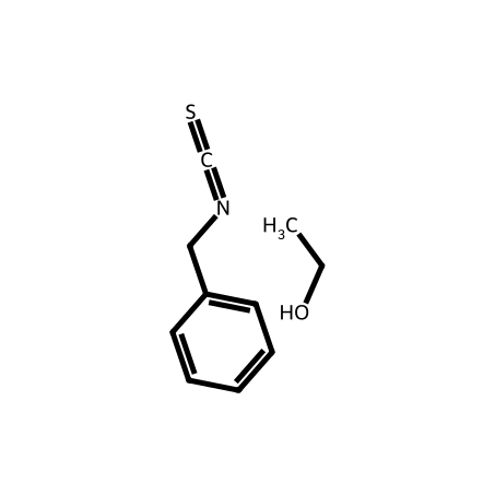 CCO.S=C=NCc1ccccc1